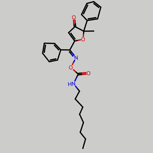 CCCCCCCCNC(=O)ON=C(C1=CC(=O)C(C)(c2ccccc2)O1)c1ccccc1